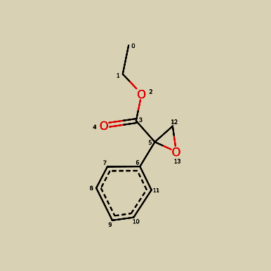 CCOC(=O)C1(c2ccccc2)CO1